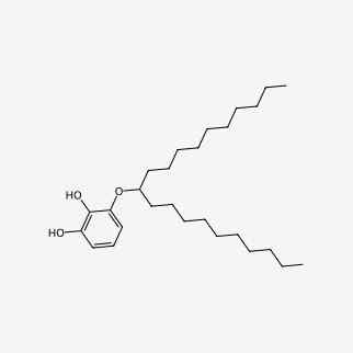 CCCCCCCCCCC(CCCCCCCCCC)Oc1cccc(O)c1O